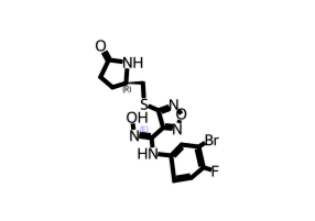 O=C1CC[C@H](CSc2nonc2/C(=N\O)Nc2ccc(F)c(Br)c2)N1